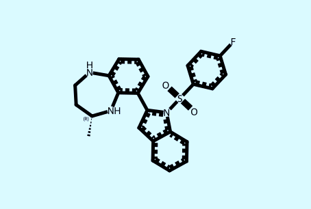 C[C@@H]1CCNc2cccc(-c3cc4ccccc4n3S(=O)(=O)c3ccc(F)cc3)c2N1